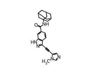 Cn1cncc1C#Cc1n[nH]c2cc(C(=O)NC34CC5CC(CC(C5)C3)C4)ccc12